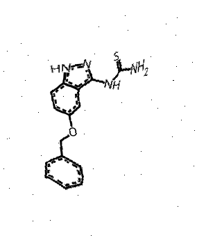 NC(=S)Nc1n[nH]c2ccc(OCc3ccccc3)cc12